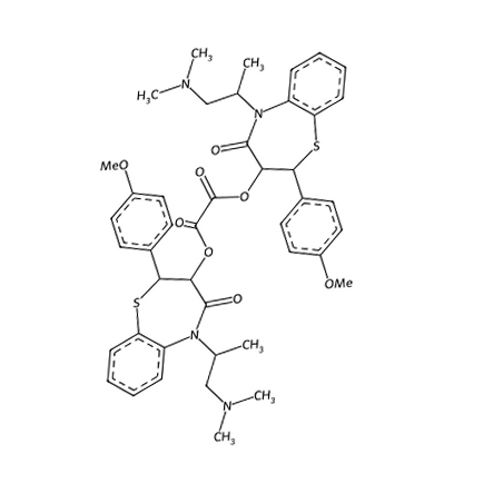 COc1ccc(C2Sc3ccccc3N(C(C)CN(C)C)C(=O)C2OC(=O)C(=O)OC2C(=O)N(C(C)CN(C)C)c3ccccc3SC2c2ccc(OC)cc2)cc1